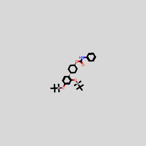 CC(C)(C)[Si](C)(C)Oc1ccc([C@H]2CC[C@H](OC(=O)Nc3ccccc3)CC2)c(O[Si](C)(C)C(C)(C)C)c1